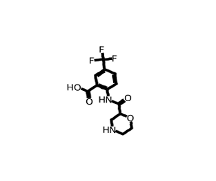 O=C(O)c1cc(C(F)(F)F)ccc1NC(=O)C1CNCCO1